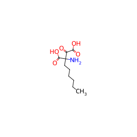 CCCCCCC(N)(C(=O)O)C(=O)C(=O)O